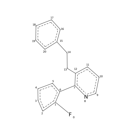 Fc1ccccc1-c1ncccc1CCc1ccccc1